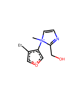 CCc1cocc1[N+]1(C)C=CN=C1CO